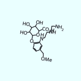 COCc1ccc(OC2OC(C(=O)O)C(O)C(O)C2O)c(NCCNCN)c1